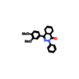 COc1ccc(C2=NN(c3ccccc3)C(=O)C3CC=CCC23)cc1OC